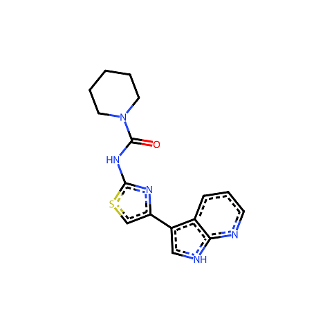 O=C(Nc1nc(-c2c[nH]c3ncccc23)cs1)N1CCCCC1